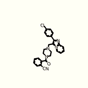 N#Cc1ccccc1C(=O)N1CCN(Cc2c(-c3ccc(Cl)cc3)nc3ccccn23)CC1